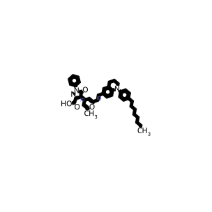 CCCCCCCCc1ccc(N2CCCc3cc(/C=C/C4=CC(=C5\C(=O)N(c6ccccc6)N=C5C(=O)O)/C=C(C)O4)ccc32)cc1